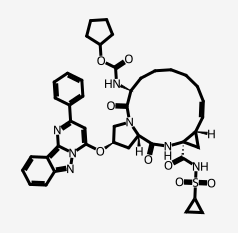 O=C(N[C@H]1CCCCC/C=C\[C@@H]2C[C@@]2(C(=O)NS(=O)(=O)C2CC2)NC(=O)[C@@H]2C[C@@H](Oc3cc(-c4ccccc4)nc4c5ccccc5nn34)CN2C1=O)OC1CCCC1